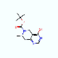 C[C@@H]1Cc2ncnc(O)c2CN1C(=O)OC(C)(C)C